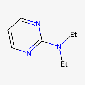 CCN(CC)c1ncccn1